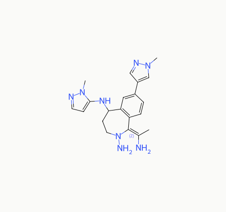 C/C(N)=C1\c2ccc(-c3cnn(C)c3)cc2C(Nc2ccnn2C)CCN1N